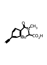 [C]#Cc1ccc(C(=O)N(C)C(C(=O)O)C(C)CC)cc1